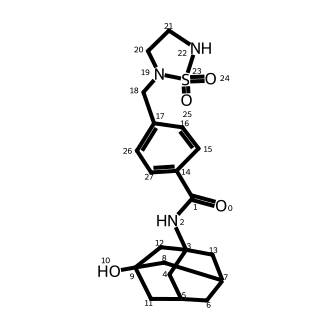 O=C(NC12CC3CC(CC(O)(C3)C1)C2)c1ccc(CN2CCNS2(=O)=O)cc1